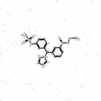 NOOS(=O)c1cccc(C(c2cccc(OS(N)(=O)=O)c2)n2cncn2)c1